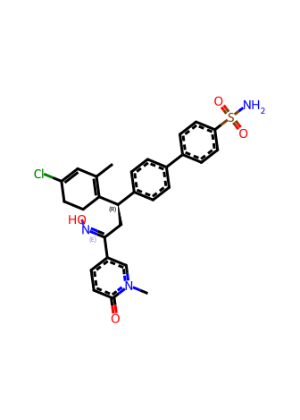 CC1=C([C@H](C/C(=N\O)c2ccc(=O)n(C)c2)c2ccc(-c3ccc(S(N)(=O)=O)cc3)cc2)CCC(Cl)=C1